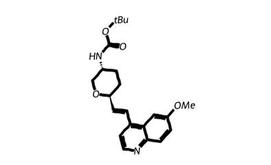 COc1ccc2nccc(/C=C/[C@@H]3CC[C@@H](NC(=O)OC(C)(C)C)CO3)c2c1